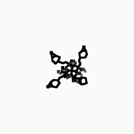 C[Si](C)(CCC1CCC2OC2C1)O[Si](O[Si](C)(C)CCC1CCC2OC2C1)(O[Si](C)(C)CCC1CCC2OC2C1)O[Si](C)(C)C1CC2CCC1C2